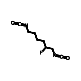 O=C=NCCCCC(F)CN=C=O